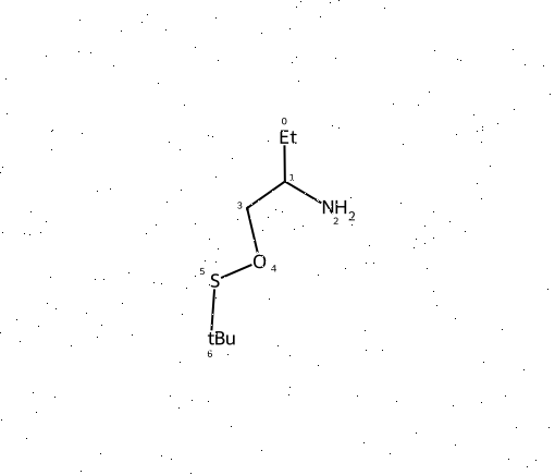 CCC(N)COSC(C)(C)C